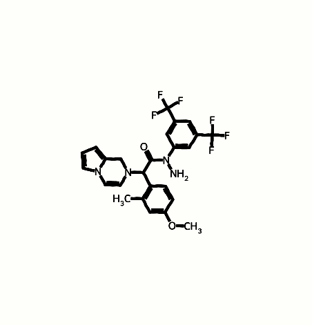 COc1ccc(C(C(=O)N(N)c2cc(C(F)(F)F)cc(C(F)(F)F)c2)N2C=Cn3cccc3C2)c(C)c1